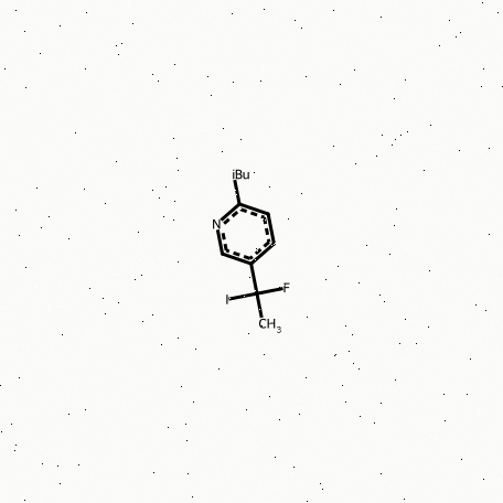 CCC(C)c1ccc(C(C)(F)I)cn1